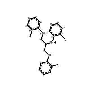 Cc1ccccc1NCC(CNc1ccccc1C)Nc1ccccc1C